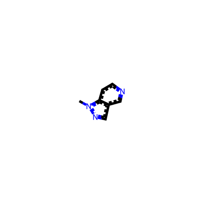 Cn1ncc2cnccc21